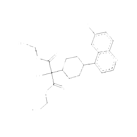 CCOC(=O)C(C)(C(=O)OCC)C1CCC(c2ccnc3ccc(F)cc23)CC1